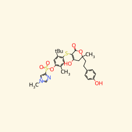 Cc1cc(SC2=C(O)CC(C)(CCc3ccc(O)cc3)OC2=O)c(C(C)(C)C)cc1OS(=O)(=O)c1cn(C)cn1